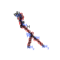 CCc1c2c(nc3ccccc13)-c1cc3c(c(=O)n1C2)COC(=O)[C@@]3(CC)OC(=O)[C@H](C)NC(=O)[C@@H]1CCCN1C(=O)[C@H](CC(=O)O)NC(=O)CCOCCOCCOCCNC(=O)[C@H](CCCCNC(=O)CCOCCOCCOCCN)NC(=O)CCOCCOCCOCCN